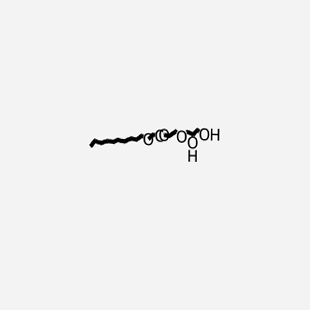 CCCCCCCCCCOCCOCCOCC(O)CO